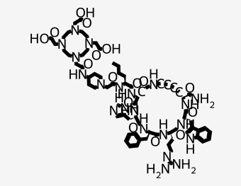 CCCC[C@H](NC(=O)CN1CCC(NC(=O)CN2CCN(CC(=O)O)CCN(CC(=O)O)CCN(CC(=O)O)CC2)CC1)C(=O)N[C@H]1CC(=O)NCCCC[C@@H](C(N)=O)NC(=O)[C@H](Cc2c[nH]c3ccccc23)NC(=O)[C@H](CCCN=C(N)N)NC(=O)[C@@H](Cc2ccccc2)NC(=O)[C@H](Cc2cnc[nH]2)NC1=O